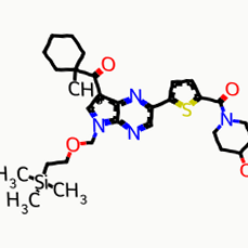 CC1(C(=O)c2cn(COCC[Si](C)(C)C)c3ncc(-c4ccc(C(=O)N5CCC(O)CC5)s4)nc23)CCCCC1